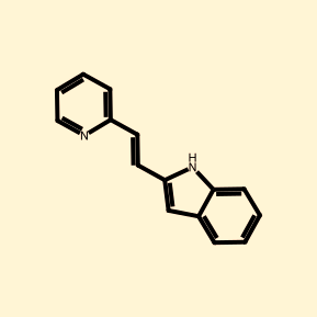 C(=C\c1cc2ccccc2[nH]1)/c1ccccn1